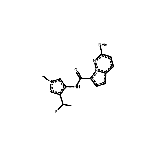 CNc1ccc2ccc(C(=O)Nc3cn(C)nc3C(F)F)n2n1